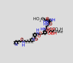 COC(C(=O)O)C(O)[C@H](O)[C@H](O)Oc1ccc(COC(=O)Nc2cccc(C(=O)N3CCC(CCCCNC(=O)/C=C/c4cccnc4)CC3)c2)cc1NC(=O)CCNC(=O)C1(NC(=O)CCC(=O)O)CNC1